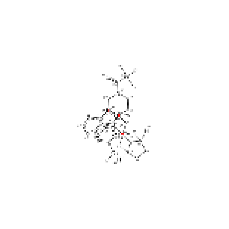 COc1cccc(C2(CCN3[C@@H]4CC[C@H]3CC(n3c(C)nc5ccccc53)C4)CCN(C(=O)C(C)(C)C)CC2)c1